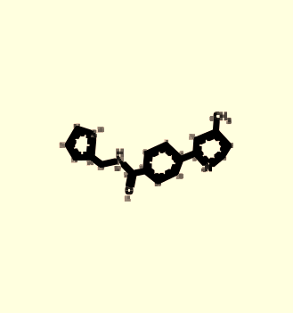 Cc1ccnc(-c2ccc(C(=O)NCc3cccs3)cc2)c1